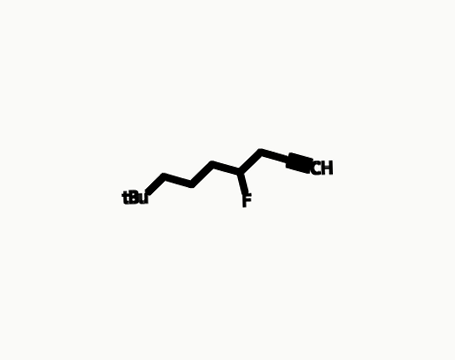 C#CCC(F)CCCC(C)(C)C